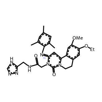 CCOc1cc2c(cc1OC)-c1c/c(=N\c3c(C)cc(C)cc3C)n(CC(=O)NCc3nnc[nH]3)c(=O)n1CC2